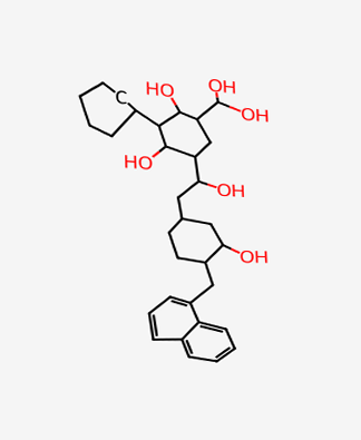 OC(O)C1CC(C(O)CC2CCC(Cc3cccc4ccccc34)C(O)C2)C(O)C(C2CCCCC2)C1O